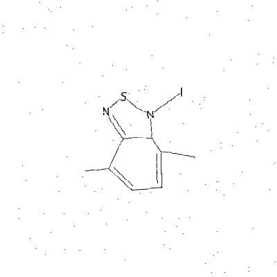 CC1=CC=C(C)C2C1=NSN2I